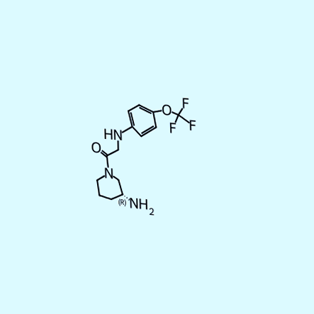 N[C@@H]1CCCN(C(=O)CNc2ccc(OC(F)(F)F)cc2)C1